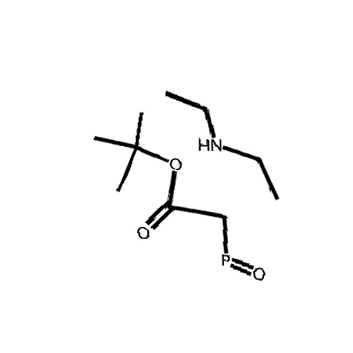 CC(C)(C)OC(=O)CP=O.CCNCC